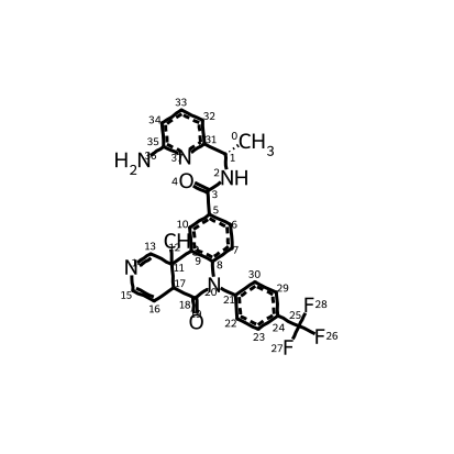 C[C@H](NC(=O)c1ccc2c(c1)C1(C)C=NC=CC1C(=O)N2c1ccc(C(F)(F)F)cc1)c1cccc(N)n1